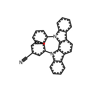 N#Cc1cccc(-n2c3ccccc3c3ccc4c5ccccc5n(-c5ccccc5)c4c32)c1